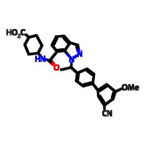 COc1cc(C#N)cc(-c2ccc(C(C)n3ncc4cccc(C(=O)NC5CCC(C(=O)O)CC5)c43)cc2)c1